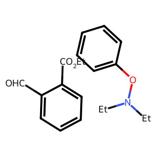 CCN(CC)Oc1ccccc1.CCOC(=O)c1ccccc1C=O